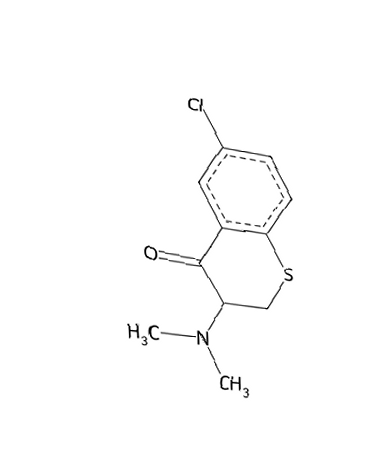 CN(C)C1CSc2ccc(Cl)cc2C1=O